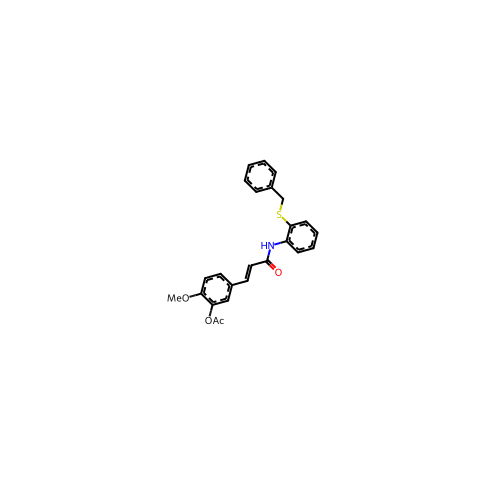 COc1ccc(/C=C/C(=O)Nc2ccccc2SCc2ccccc2)cc1OC(C)=O